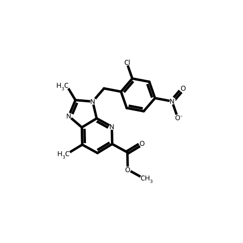 COC(=O)c1cc(C)c2nc(C)n(Cc3ccc([N+](=O)[O-])cc3Cl)c2n1